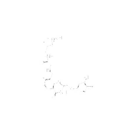 CN1CCC(CNC(=O)CNCc2nccc3c(=O)[nH]c(COc4ccc(F)c(Cl)c4)nc23)C1